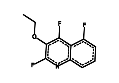 CCOc1c(F)nc2cccc(F)c2c1F